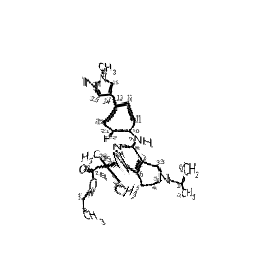 C=C(C)N1CCc2c(c(Nc3ccc(-c4cnn(C)c4)cc3F)nn2C(C)(C)C(=O)OCC)C1